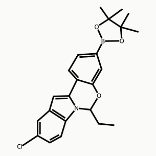 CCC1Oc2cc(B3OC(C)(C)C(C)(C)O3)ccc2-c2cc3cc(Cl)ccc3n21